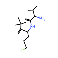 C=C(NC(CCCF)C(=C)C(C)(C)C)C(N)C(C)C